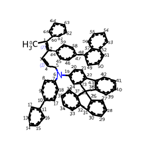 C/C(=C(\C=C/CN(c1ccc(-c2ccccc2)cc1)c1ccc2c(c1)C1(c3ccccc3-c3ccccc31)c1ccccc1-2)c1ccc(-c2cccc3ccccc23)cc1)c1ccccc1